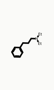 CCN(CC)CCCc1c[c]ccc1